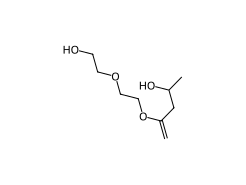 C=C(CC(C)O)OCCOCCO